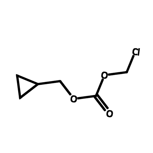 O=C(OCCl)OCC1CC1